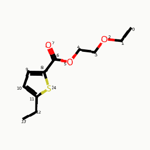 CCOCCOC(=O)c1ccc(CC)s1